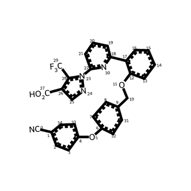 N#Cc1ccc(Oc2ccc(COc3ccccc3-c3cccc(-n4ncc(C(=O)O)c4C(F)(F)F)n3)cc2)cc1